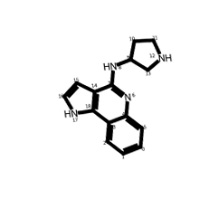 c1ccc2c(c1)nc(NC1CCNC1)c1cc[nH]c12